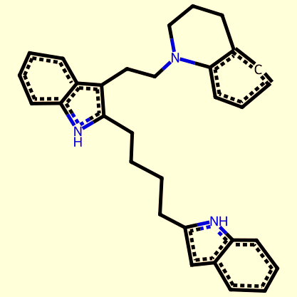 c1ccc2c(c1)CCCN2CCc1c(CCCCc2cc3ccccc3[nH]2)[nH]c2ccccc12